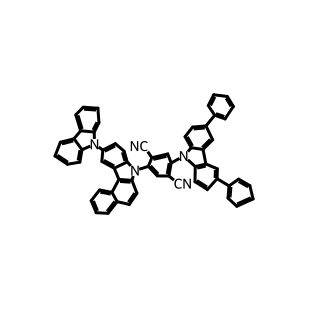 N#Cc1cc(-n2c3ccc(-n4c5ccccc5c5ccccc54)cc3c3c4ccccc4ccc32)c(C#N)cc1-n1c2ccc(-c3ccccc3)cc2c2cc(-c3ccccc3)ccc21